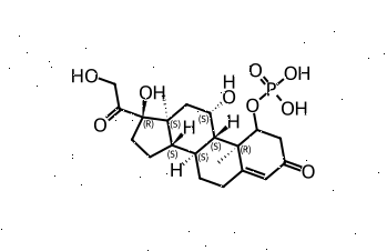 C[C@]12C[C@H](O)[C@H]3[C@@H](CCC4=CC(=O)CC(OP(=O)(O)O)[C@@]43C)[C@@H]1CC[C@]2(O)C(=O)CO